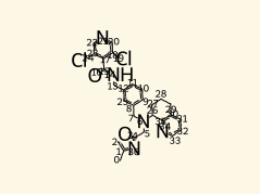 Cc1coc(CN(Cc2cccc(CNC(=O)c3c(Cl)cncc3Cl)c2)C2CCCc3cccnc32)n1